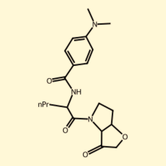 CCCC(NC(=O)c1ccc(N(C)C)cc1)C(=O)N1CCC2OCC(=O)C21